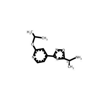 CC(C)Oc1cc(-c2noc([C@H](C)N)n2)ccn1